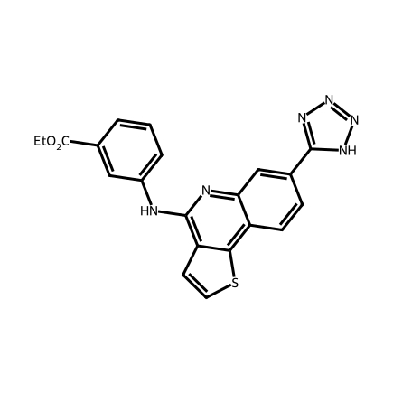 CCOC(=O)c1cccc(Nc2nc3cc(-c4nnn[nH]4)ccc3c3sccc23)c1